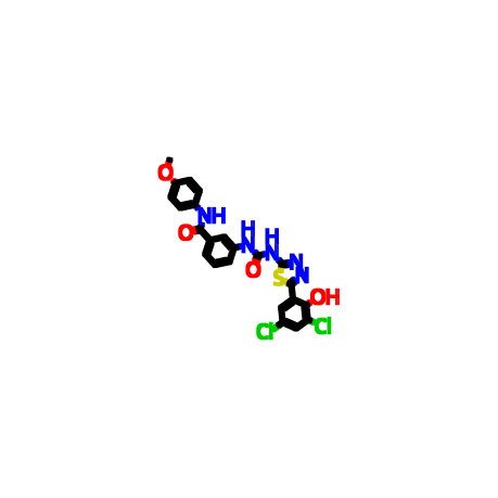 COc1ccc(NC(=O)c2cccc(NC(=O)Nc3nnc(-c4cc(Cl)cc(Cl)c4O)s3)c2)cc1